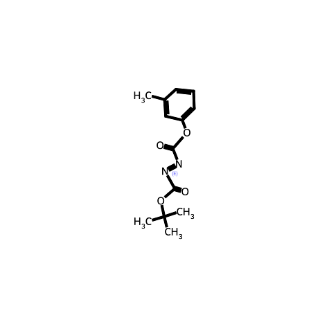 Cc1cccc(OC(=O)/N=N/C(=O)OC(C)(C)C)c1